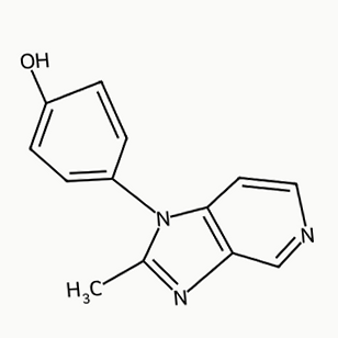 Cc1nc2cnccc2n1-c1ccc(O)cc1